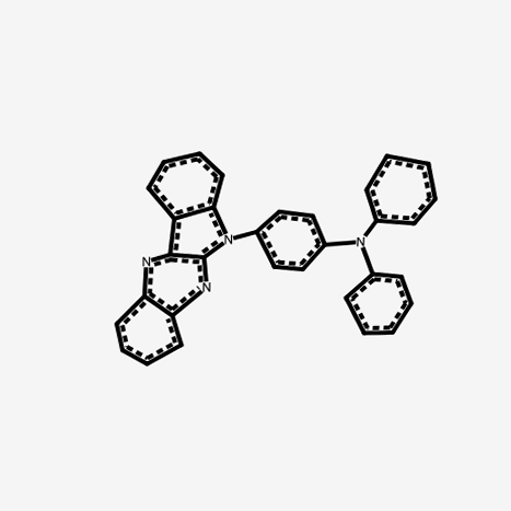 c1ccc(N(c2ccccc2)c2ccc(-n3c4ccccc4c4nc5ccccc5nc43)cc2)cc1